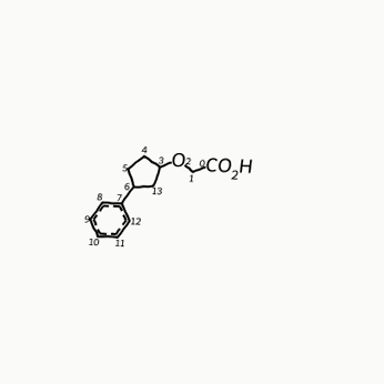 O=C(O)COC1CCC(c2ccccc2)C1